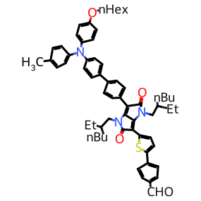 CCCCCCOc1ccc(N(c2ccc(C)cc2)c2ccc(-c3ccc(C4=C5C(=C(c6ccc(-c7ccc(C=O)cc7)s6)C(=O)N5CC(CC)CCCC)N(CC(CC)CCCC)C4=O)cc3)cc2)cc1